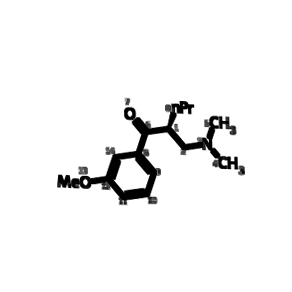 CCC[C@@H](CN(C)C)C(=O)c1cccc(OC)c1